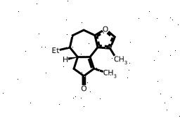 CCC1CCc2occ(C)c2C2=C(C)C(=O)C[C@@H]21